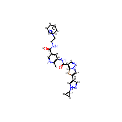 Cc1ncc(C(=O)NCCN2CC3CCC2CC3)cc1NC(=O)c1cnn2cc(-c3cnn(C4CC4)c3)sc12